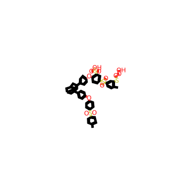 Cc1ccc(S(=O)(=O)c2ccc(Oc3ccc(C45CC6CC(C4)CC(c4ccc(Oc7ccc(S(=O)(=O)c8ccc(C)c(SOOO)c8)cc7S(=O)(=O)O)cc4)(C6)C5)cc3)cc2)cc1